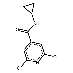 O=C(NC1CC1)c1cc(Cl)nc(Cl)c1